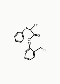 CCC(Oc1ccccc1)C(=O)Cl.ClCc1cccnc1Cl